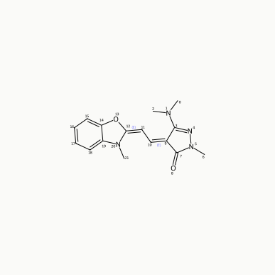 CN(C)C1=NN(C)C(=O)/C1=C/C=C1/Oc2ccccc2N1C